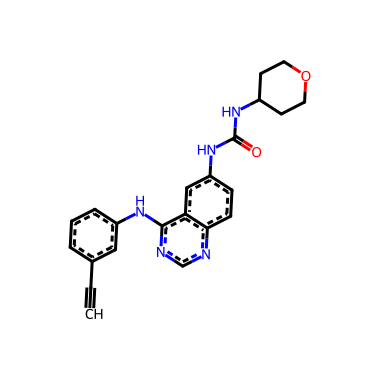 C#Cc1cccc(Nc2ncnc3ccc(NC(=O)NC4CCOCC4)cc23)c1